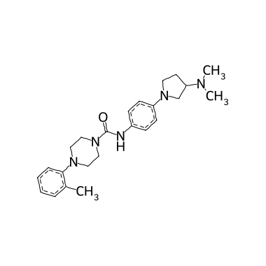 Cc1ccccc1N1CCN(C(=O)Nc2ccc(N3CCC(N(C)C)C3)cc2)CC1